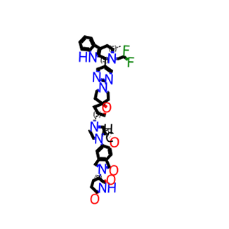 C[C@H]1Cc2c([nH]c3ccccc23)[C@H](c2cnc(N3CCC4(CC3)C[C@@H](CN3CCN5c6cc7c(cc6OC[C@@H]5C3)C(=O)N([C@@H]3CCC(=O)NC3=O)C7)CO4)nc2)N1CC(F)F